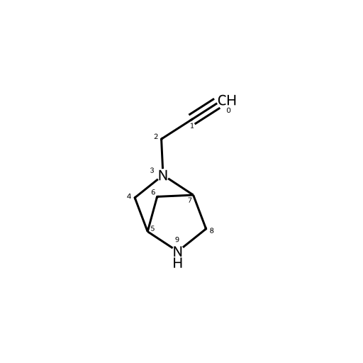 C#CCN1CC2CC1CN2